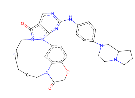 O=C1COc2ccc3cc2N1CCC/C=C\Cn1c(=O)c2cnc(Nc4ccc(N5CCN6CCCC6C5)cc4)nc2n1-3